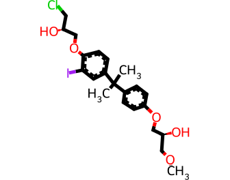 COC[C@H](O)COc1ccc(C(C)(C)c2ccc(OC[C@H](O)CCl)c(I)c2)cc1